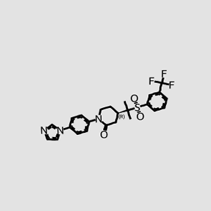 CC(C)([C@@H]1CCN(c2ccc(-n3ccnc3)cc2)C(=O)C1)S(=O)(=O)c1cccc(C(F)(F)F)c1